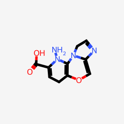 NN1C(C(=O)O)=CCC2=C1N1CC=NC1=CO2